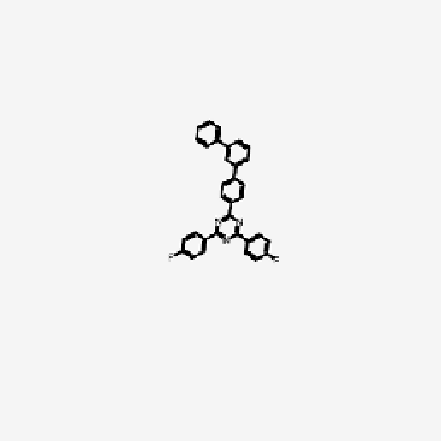 Fc1ccc(-c2nc(-c3ccc(F)cc3)nc(-c3ccc(-c4cccc(-c5ccccc5)c4)cc3)n2)cc1